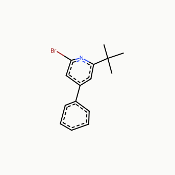 CC(C)(C)c1cc(-c2ccccc2)cc(Br)n1